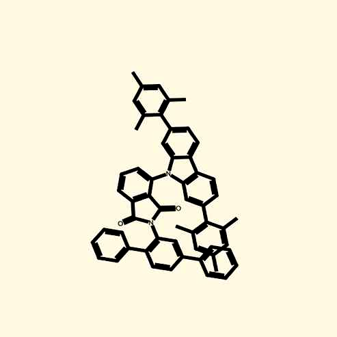 Cc1cc(C)c(-c2ccc3c4ccc(-c5c(C)cc(C)cc5C)cc4n(-c4cccc5c4C(=O)N(c4cc(-c6ccccc6)ccc4-c4ccccc4)C5=O)c3c2)c(C)c1